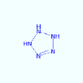 N1=NNNN1